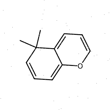 CC1(C)C=CC=C2OC=CC=C21